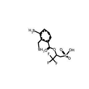 BCc1c(B)cccc1C(=O)OC(CS(=O)(=O)O)C(F)(F)F